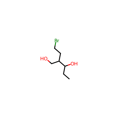 CCC(O)C(CO)CCBr